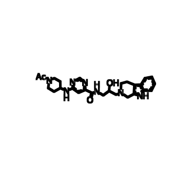 CC(=O)N1CCC(Nc2cc(C(=O)NCC(O)CN3CCc4c([nH]c5ccccc45)C3)ncn2)CC1